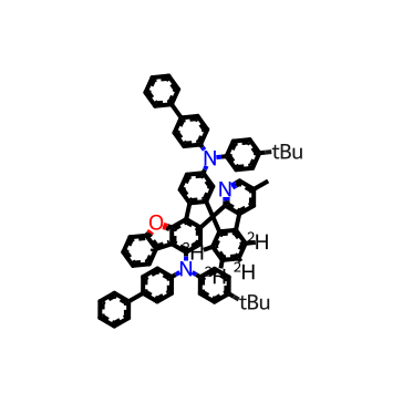 [2H]c1c([2H])c([2H])c2c(c1[2H])-c1cc(C)cnc1C21c2cc(N(c3ccc(-c4ccccc4)cc3)c3ccc(C(C)(C)C)cc3)ccc2-c2c1cc(N(c1ccc(-c3ccccc3)cc1)c1ccc(C(C)(C)C)cc1)c1c2oc2ccccc21